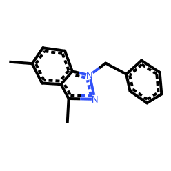 Cc1ccc2c(c1)c(C)nn2Cc1ccccc1